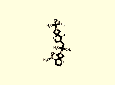 CN(C)[C@H]1CCOC12CN(C(C)(C)CC1COC3(CN(C(C)(C)C)C3)[C@@H]1F)C2